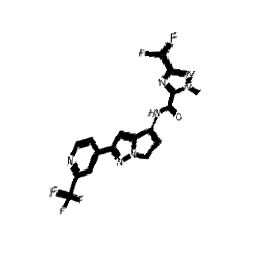 Cn1nc(C(F)F)nc1C(=O)N[C@H]1CCn2nc(-c3ccnc(C(F)(F)F)c3)cc21